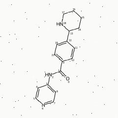 O=C(Nc1ccncc1)c1ccc(C2CCCCN2)cc1